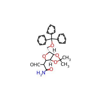 CC1(C)O[C@@H]2[C@@H](COC(c3ccccc3)(c3ccccc3)c3ccccc3)OC(C(C=O)C(N)=O)[C@@H]2O1